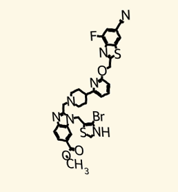 COC(=O)c1ccc2nc(CN3CCC(c4cccc(OCc5nc6c(F)cc(C#N)cc6s5)n4)CC3)n(CC3=C(Br)NCS3)c2c1